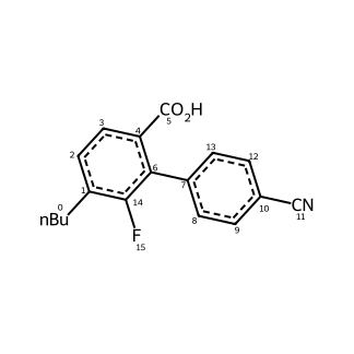 CCCCc1ccc(C(=O)O)c(-c2ccc(C#N)cc2)c1F